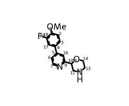 COc1ccc(-c2ccnc(C3CNCCO3)c2)cc1F